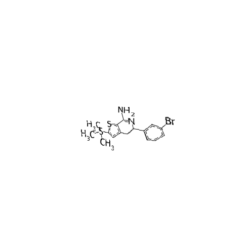 CS(C)(C)c1cc2c(s1)C(N)=NC(c1cccc(Br)c1)C2